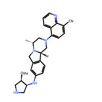 CO[C@@H]1CNC[C@@H]1Nc1ccc2c(c1)CN1[C@H](C)CN(c3ccc(C#N)c4ncccc34)C[C@H]21